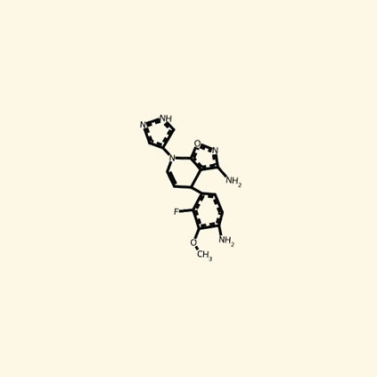 COc1c(N)ccc(C2C=CN(c3cn[nH]c3)c3onc(N)c32)c1F